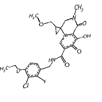 CCOc1ccc(CNC(=O)c2cn3c(c(O)c2=O)C(=O)N(C)CC32CC2COC)c(F)c1Cl